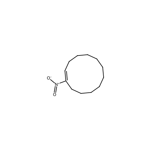 O=[N+]([O-])/C1=C/CCCCCCCCCC1